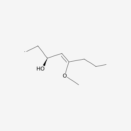 [CH2]C[C@H](O)C=C(CCC)OC